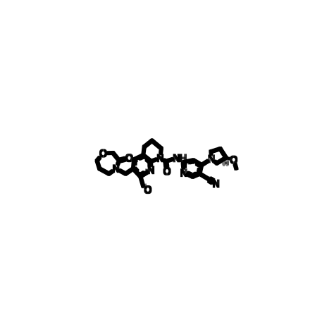 CO[C@@H]1CCN(c2cc(NC(=O)N3CCCc4cc(CN5CCCOCC5=O)c(C=O)nc43)ncc2C#N)C1